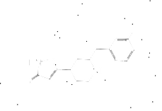 O=c1cc(C2CCNC(Cc3cccc(F)c3)C2)o[nH]1